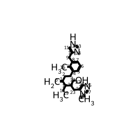 C=C(CCc1cccc(Cc2c[nH]cn2)c1C)C(CC)C(CO)Cc1cncn1C